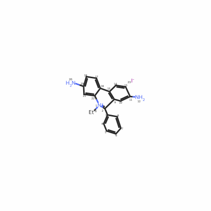 CC[n+]1c(-c2ccccc2)c2cc(N)ccc2c2ccc(N)cc21.[I-]